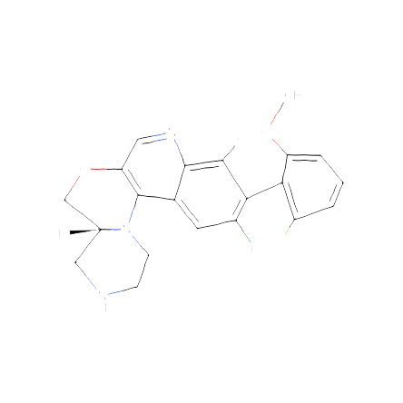 COc1cccc(F)c1-c1c(Cl)cc2c3c(cnc2c1C)OC[C@H]1CNCCN31